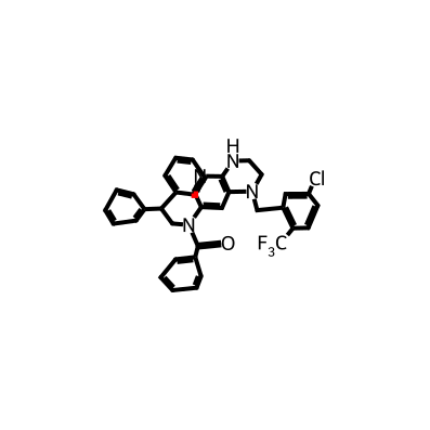 O=C(c1ccccc1)N(CC(c1ccccc1)c1ccccc1)c1cnc2c(c1)N(Cc1cc(Cl)ccc1C(F)(F)F)CCN2